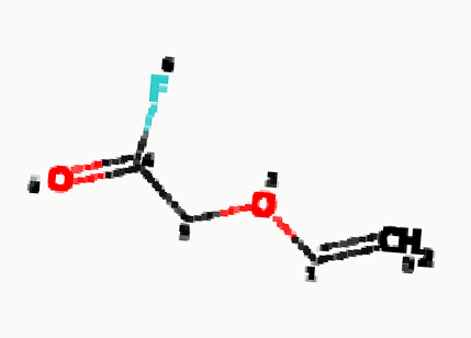 C=COCC(=O)F